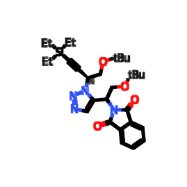 CC[Si](C#C[C@@H](COC(C)(C)C)n1nncc1C(COC(C)(C)C)N1C(=O)c2ccccc2C1=O)(CC)CC